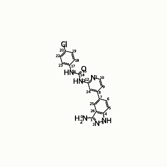 Nc1n[nH]c2ccc(-c3ccnc(NC(=O)Nc4ccc(Cl)cc4)c3)cc12